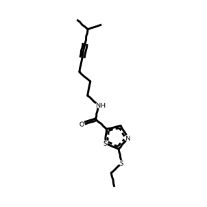 CCSc1ncc(C(=O)NCCCC#CC(C)C)s1